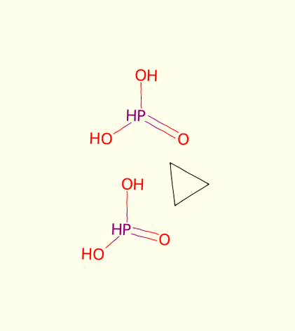 C1CC1.O=[PH](O)O.O=[PH](O)O